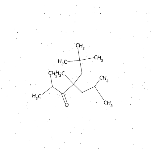 CC(C)CC(C)(CC(C)(C)C)C(=O)C(C)C